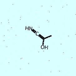 CC(O)=C=N